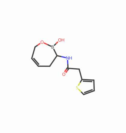 O=C(Cc1cccs1)NC1CC=CCOB1O